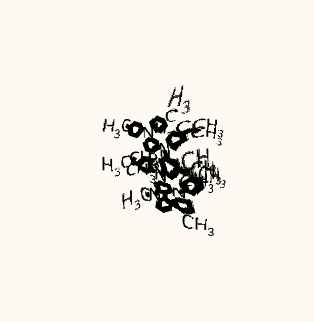 Cc1ccc(N(c2ccc(C)cc2)c2ccc3c(c2)N(c2ccc(C(C)(C)C)cc2)c2cc(C(C)(C)C)cc4c2B3c2cc(C(C)(C)C)ccc2N4c2cc(N(c3ccc(C)cc3)c3ccc(C)cc3)c3c4ccccc4n(C)c3c2)cc1